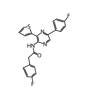 O=C(Cc1ccc(F)cc1)Nc1ncc(-c2ccc(F)cc2)nc1-c1cccs1